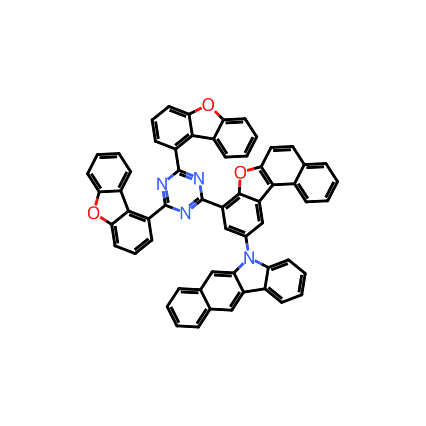 c1ccc2cc3c(cc2c1)c1ccccc1n3-c1cc(-c2nc(-c3cccc4oc5ccccc5c34)nc(-c3cccc4oc5ccccc5c34)n2)c2oc3ccc4ccccc4c3c2c1